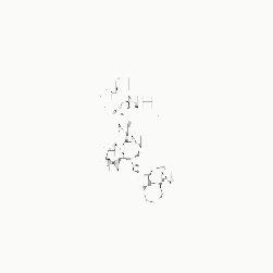 C[C@@H]1OCC2(CCN(c3ncc(Sc4ccnc5ccccc45)c4nccn34)CC2)[C@@H]1N